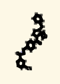 N#Cc1cccc(C(=O)/C=C/c2ccc(C(=O)N3CCN(Cc4ccccc4)C34COC4)cc2)c1